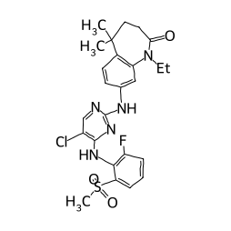 CCN1C(=O)CCC(C)(C)c2ccc(Nc3ncc(Cl)c(Nc4c(F)cccc4S(C)(=O)=O)n3)cc21